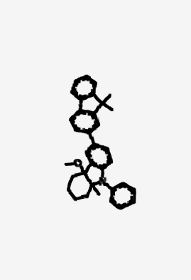 COC12CCCCC1(C)N(c1ccccc1)c1ccc(-c3ccc4c(c3)C(C)(C)c3ccccc3-4)cc12